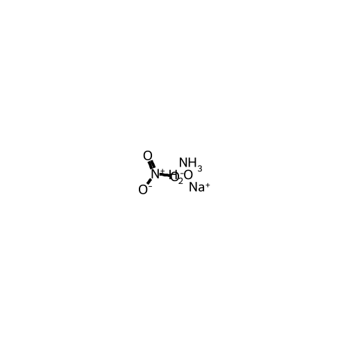 N.O.O=[N+]([O-])[O-].[Na+]